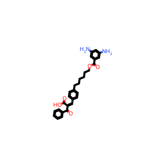 Nc1cc(N)cc(C(=O)OCCCCCCc2ccc(C=C(C(=O)O)C(=O)c3ccccc3)cc2)c1